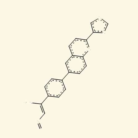 C=N/C=C(\NC)c1ccc(-c2ccc3nc(-c4c[nH]cn4)ccc3c2)cc1